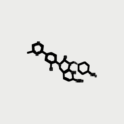 CNC1C=CC2=C(N1)N(C[C@H]1CC[C@H](N)CC1)C(=O)N(c1ccc(-c3cncc(C)n3)cc1Cl)C2